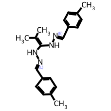 CC(C)=C(N/N=C/c1ccc(C)cc1)N/N=C/c1ccc(C)cc1